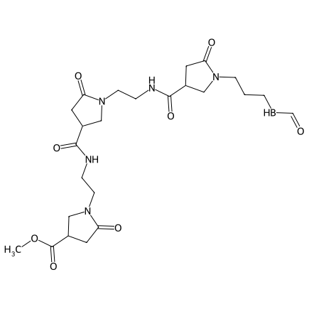 COC(=O)C1CC(=O)N(CCNC(=O)C2CC(=O)N(CCNC(=O)C3CC(=O)N(CCCBC=O)C3)C2)C1